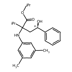 Cc1cc(C)cc(NC(C[C@@H](O)c2ccccc2)(C(=O)OC(C)C)C(C)C)c1